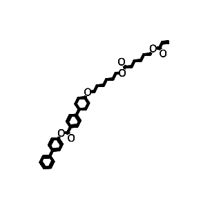 C=CC(=O)OCCCCCC(=O)OCCCCCCOC1CCC(c2ccc(C(=O)Oc3ccc(-c4ccccc4)cc3)cc2)CC1